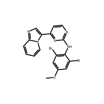 COc1cc(Br)c(Nc2nccc(-c3cnc4ccccn34)n2)c(Br)c1